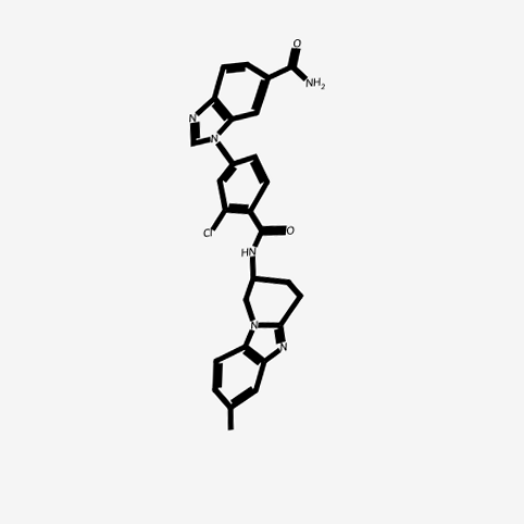 Cc1ccc2c(c1)nc1n2CC(NC(=O)c2ccc(-n3cnc4ccc(C(N)=O)cc43)cc2Cl)CC1